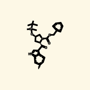 CC(C)(C)[Si](C)(C)O[C@@H]1C[C@@H](C(=O)c2c[nH]c3cc(F)ccc23)N(C(=O)OCc2ccccc2)C1